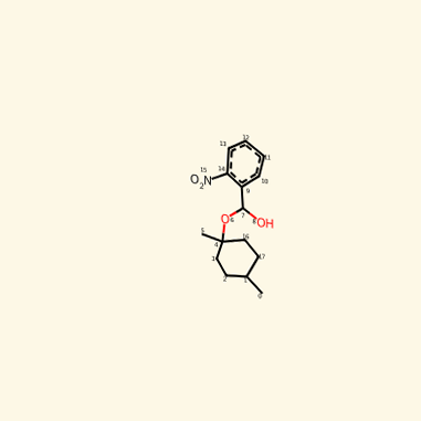 CC1CCC(C)(OC(O)c2ccccc2[N+](=O)[O-])CC1